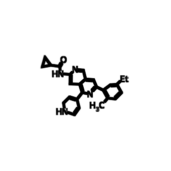 CCc1ccc(C)c(-c2cc3cnc(NC(=O)C4CC4)cc3c(C3=CCNC=C3)n2)c1